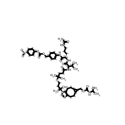 CC(N)NC(=O)OCC1C2CCc3nnn(C(C)(C)CCOC(C)(C)CCC(=O)NC(C(=O)N[C@@H](CCCNC(N)=O)C(=O)Nc4ccc(COC(=O)Oc5ccc([N+](=O)[O-])cc5)cc4)C(C)C)c3CCC21